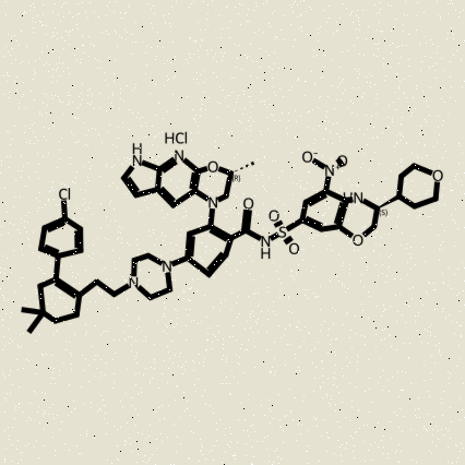 C[C@@H]1CN(c2cc(N3CCN(CCC4=C(c5ccc(Cl)cc5)CC(C)(C)CC4)CC3)ccc2C(=O)NS(=O)(=O)c2cc3c(c([N+](=O)[O-])c2)N[C@@H](C2CCOCC2)CO3)c2cc3cc[nH]c3nc2O1.Cl